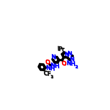 CC(C)c1cc(C(=O)c2cncc(NC(=O)Nc3ccccc3C(F)(F)F)c2)c2c(N)ncnn12